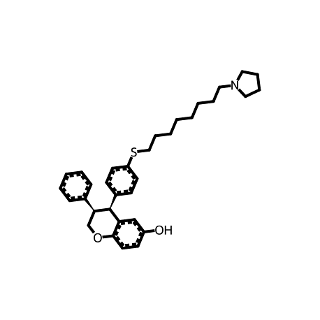 Oc1ccc2c(c1)[C@H](c1ccc(SCCCCCCCCN3CCCC3)cc1)[C@H](c1ccccc1)CO2